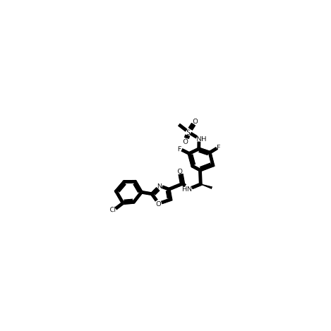 C[C@@H](NC(=O)c1coc(-c2cccc(Cl)c2)n1)c1cc(F)c(NS(C)(=O)=O)c(F)c1